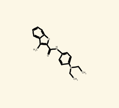 CCN(CC)c1ccc(NC(=O)c2oc3ccccc3c2C)cc1